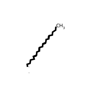 [C]CCCCC=CCC=CCC=CCC=CCCCCC